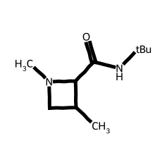 CC1CN(C)C1C(=O)NC(C)(C)C